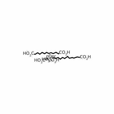 CCCCCCCCCCC(C(=O)O)C(=O)O.O=C(O)CCCCCCCCCCCC(=O)O.O=C(O)CCCCCCCCCCCCC(=O)O